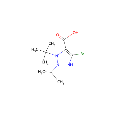 CC(C)N1NC(Br)=C(C(=O)O)N1C(C)(C)C